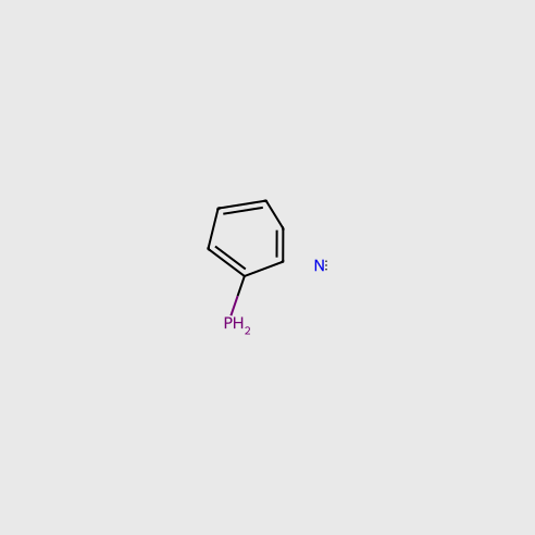 Pc1ccccc1.[N]